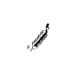 C=COCCC(F)(F)C(F)(F)C(F)(F)C(F)(F)C(F)(F)C(F)(F)C(F)(F)C(F)(F)F